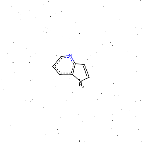 C1=Cc2ncccc2[SiH2]1